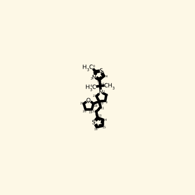 Cc1nc(C(C)(C)N2CCC(CCc3cccs3)(C3CCCO3)C2)cs1